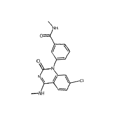 CNC(=O)c1cccc(-n2c(=O)nc(NC)c3ccc(Cl)cc32)c1